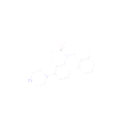 O=C1OCc2c(N3CCNCC3)cccc2N1Cc1ccccc1F